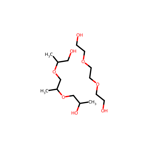 CC(O)COC(C)COC(C)CO.OCCOCCOCCO